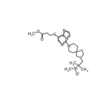 COC(=O)CCSc1cnc(N2CCC3(CCC(CC(C)(C)[S@+](C)[O-])C3)CC2)n2ccnc12